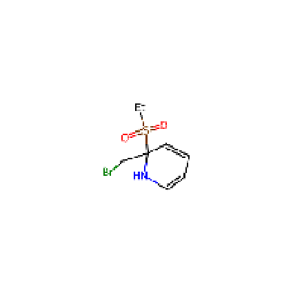 CCS(=O)(=O)C1(CBr)C=CC=CN1